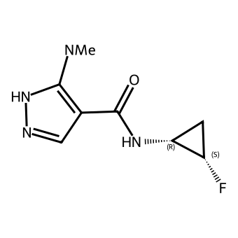 CNc1[nH]ncc1C(=O)N[C@@H]1C[C@@H]1F